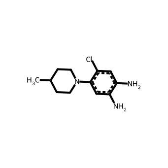 CC1CCN(c2cc(N)c(N)cc2Cl)CC1